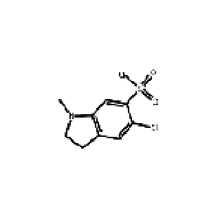 CN1CCc2cc(Cl)c(S(=O)(=O)Cl)cc21